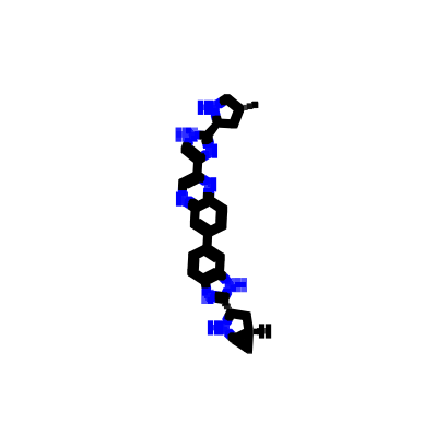 C[C@H]1CN[C@H](c2nc(-c3cnc4cc(-c5ccc6nc([C@@H]7C[C@H]8CC8N7)[nH]c6c5)ccc4n3)c[nH]2)C1